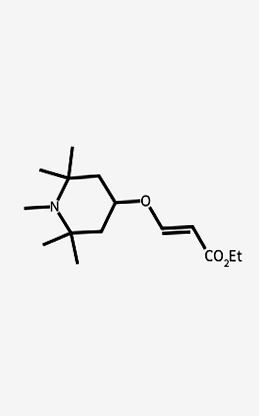 CCOC(=O)/C=C/OC1CC(C)(C)N(C)C(C)(C)C1